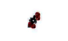 COC(=O)CC1CCC(C(=O)OC)CC1